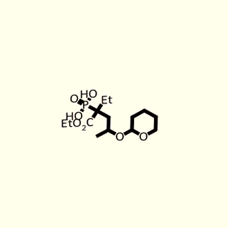 CCOC(=O)C(CC)(CC(C)OC1CCCCO1)P(=O)(O)O